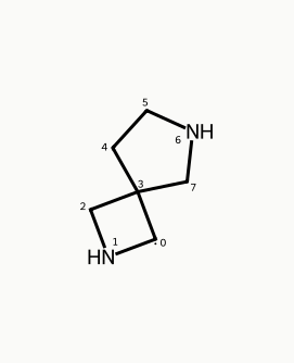 [CH]1NCC12CCNC2